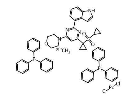 C[C@@H]1COCCN1c1cc(C2(S(=O)(=O)C3CC3)CC2)nc(-c2cccc3[nH]ccc23)n1.[Cl][Pd][Cl].c1ccc(P(c2ccccc2)c2ccccc2)cc1.c1ccc(P(c2ccccc2)c2ccccc2)cc1